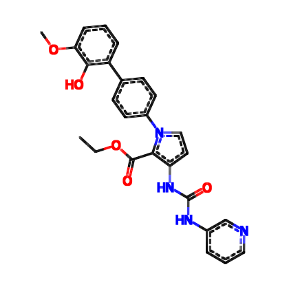 CCOC(=O)c1c(NC(=O)Nc2cccnc2)ccn1-c1ccc(-c2cccc(OC)c2O)cc1